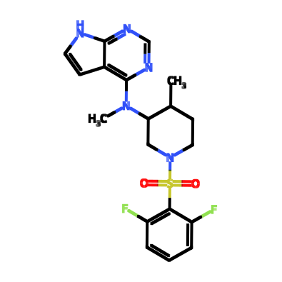 CC1CCN(S(=O)(=O)c2c(F)cccc2F)CC1N(C)c1ncnc2[nH]ccc12